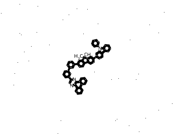 CC1(C)c2cc(-c3cccc(-c4cccc(-c5cnc6c7ccccc7c7ccccc7c6n5)c4)c3)ccc2-c2ccc(-c3ccc4c5ccccc5n(-c5ccccc5)c4c3)cc21